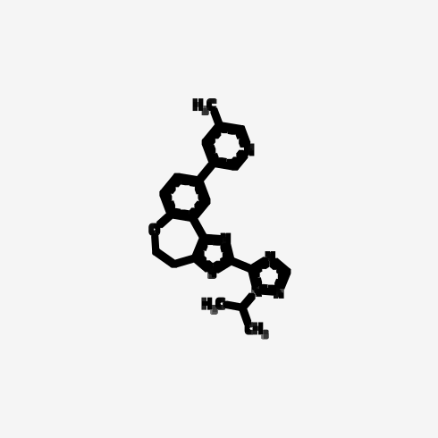 Cc1cncc(-c2ccc3c(c2)-c2nc(-c4ncnn4C(C)C)sc2CCO3)c1